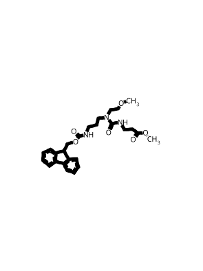 COCCN(CCCNC(=O)OCC1c2ccccc2-c2ccccc21)C(=O)NCCC(=O)OC